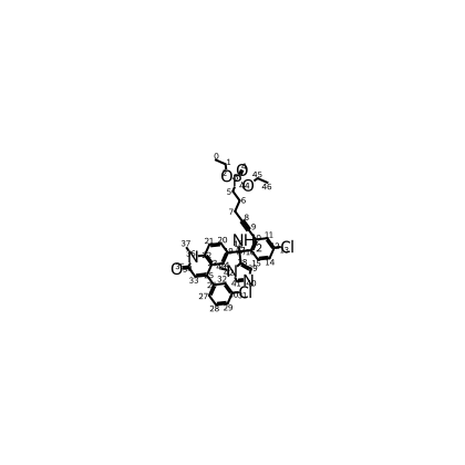 CCOP(=O)(CCCC#Cc1cc(Cl)ccc1[C@@](N)(c1ccc2c(c1)c(-c1cccc(Cl)c1)cc(=O)n2C)c1cncn1C)OCC